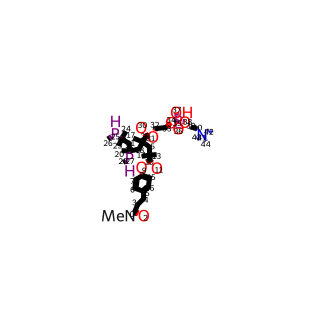 CNC(=O)CCc1ccc(OC(=O)C(C)(C)CC(C)(CC(C)(CC(C)(C)PC)PC)C(=O)OCCOP(=O)(O)OCC[N+](C)(C)C)cc1